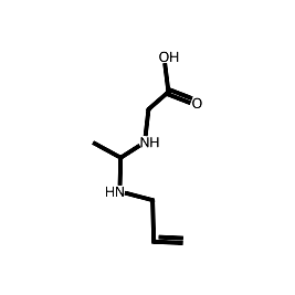 C=CCNC(C)NCC(=O)O